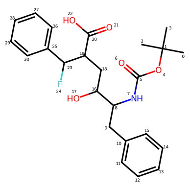 CC(C)(C)OC(=O)NC(Cc1ccccc1)C(O)CC(C(=O)O)C(F)c1ccccc1